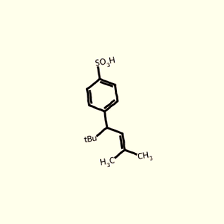 CC(C)=CC(c1ccc(S(=O)(=O)O)cc1)C(C)(C)C